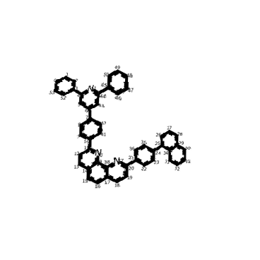 c1ccc(-c2cc(-c3ccc(-c4ccc5ccc6ccc(-c7ccc(-c8cccc9ccccc89)cc7)nc6c5n4)cc3)cc(-c3ccccc3)n2)cc1